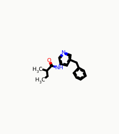 CCC(C)C(=O)Nc1cncc(Cc2ccccc2)c1